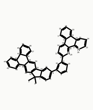 CC1(C)c2ccc(-c3cccc(-c4ccc5c6ccccc6c6cccnc6c5n4)c3)cc2-c2cc3c4ccccc4c4ccccc4c3cc21